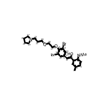 CNc1ccc(C)cc1/C(C=O)=C/c1cc(Br)c(OCCOCCCN2CCCC2)c(Br)c1